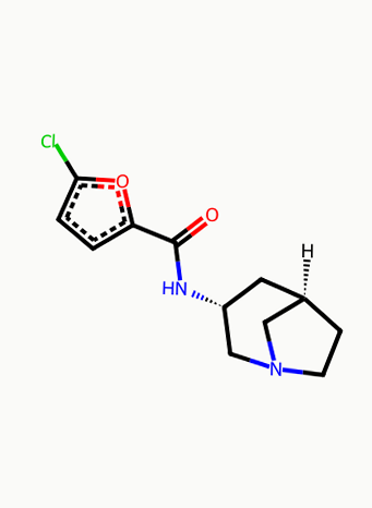 O=C(N[C@@H]1C[C@H]2CCN(C2)C1)c1ccc(Cl)o1